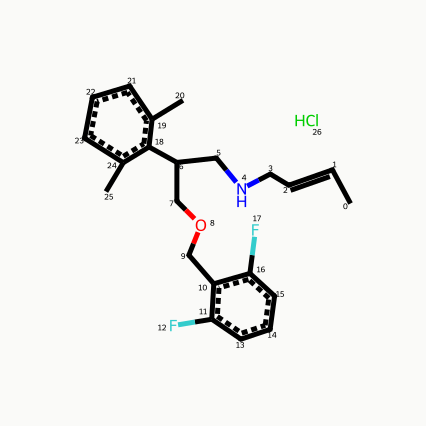 CC=CCNCC(COCc1c(F)cccc1F)c1c(C)cccc1C.Cl